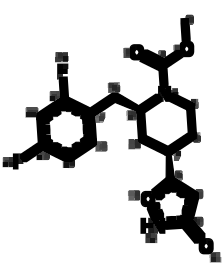 COC(=O)N1CC[C@@H](c2cc(=O)[nH]o2)C[C@H]1Cc1ccc(F)cc1F